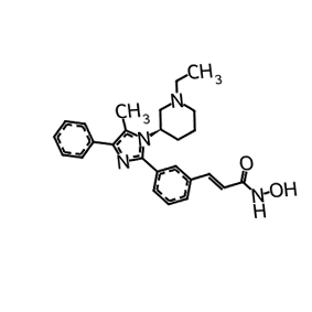 CCN1CCC[C@@H](n2c(-c3cccc(/C=C/C(=O)NO)c3)nc(-c3ccccc3)c2C)C1